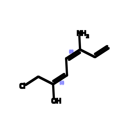 C=C/C(N)=C\C=C(\O)CCl